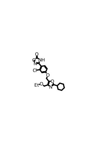 CCOCc1nc(C2CCCCC2)oc1COc1ccc(-c2noc(=O)[nH]2)c(Cl)c1